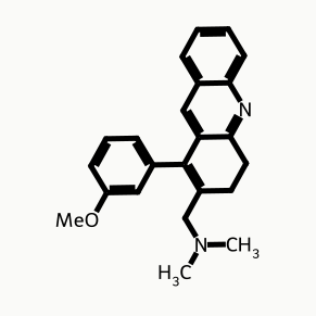 COc1cccc(C2=C(CN(C)C)CCc3nc4ccccc4cc32)c1